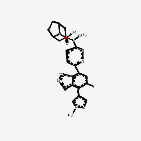 CN(c1ccc(-c2cc(F)c(-c3cnn(C)c3)c3cn[nH]c23)nn1)C1CC2CCC(C1)N2C(=O)O